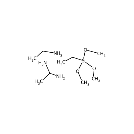 CC(N)N.CCN.CC[Si](OC)(OC)OC